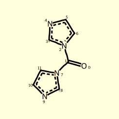 O=C(n1[c]ncc1)n1[c]ncc1